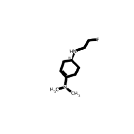 CN(C)C1=CC[C@@H](NCCF)CC1